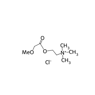 COCC(=O)OCC[N+](C)(C)C.[Cl-]